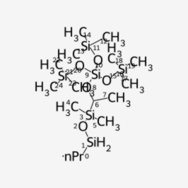 CC[CH][SiH2]O[Si](C)(C)C(C)O[Si](O[Si](C)(C)C)(O[Si](C)(C)C)O[Si](C)(C)C